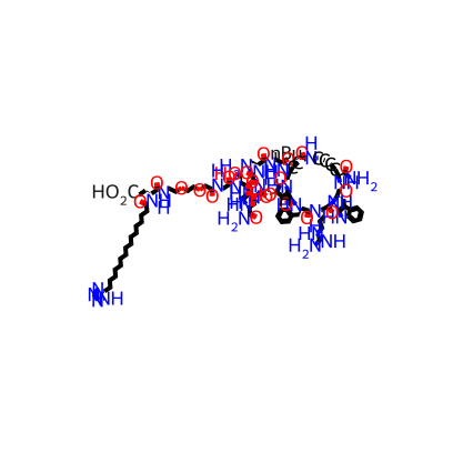 CCCC[C@H](NC(=O)[C@H](CN)NC(=O)[C@H](Cc1c[nH]cn1)NC(=O)[C@@H](CCC(N)=O)NC(=O)[C@H](CO)NC(=O)CNC(=O)COCCOCCNC(=O)[C@@H](CCC(=O)O)NC(=O)CCCCCCCCCCCCCCCc1nnn[nH]1)C(=O)N[C@H]1CCC(=O)NCCCC[C@@H](C(N)=O)NC(=O)[C@H](Cc2c[nH]c3ccccc23)NC(=O)[C@H](CCCNC(=N)N)NC(=O)[C@@H](Cc2ccccc2)NC(=O)[C@@H]2C[C@@H](O)CN2C1=O